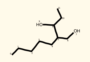 CCCCCC(CO)C(O)CC